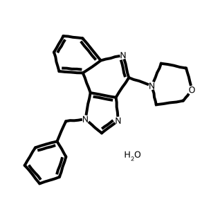 O.c1ccc(Cn2cnc3c(N4CCOCC4)nc4ccccc4c32)cc1